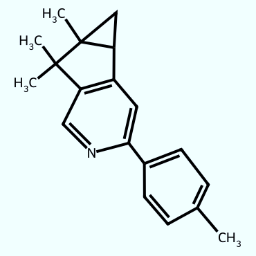 Cc1ccc(-c2cc3c(cn2)C(C)(C)C2(C)CC32)cc1